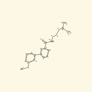 CC(C)Cc1cccc(-c2cccc(C(=O)NCCCN(C)C)c2)c1